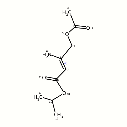 CC(=O)OC/C(N)=C/C(=O)OC(C)C